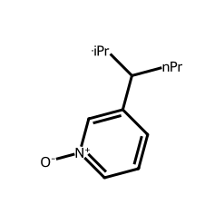 CCCC([C](C)C)c1ccc[n+]([O-])c1